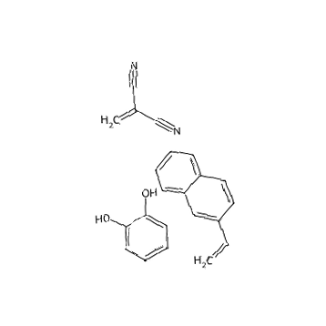 C=C(C#N)C#N.C=Cc1ccc2ccccc2c1.Oc1ccccc1O